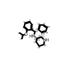 CC(C)Oc1ccccc1CN[C@H]1CCCN[C@H]1c1ccccc1